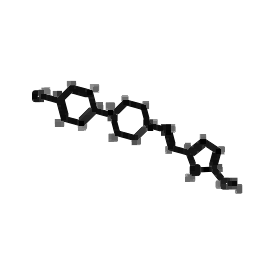 Cc1ccc(C=NN2CCN(c3ccc(Cl)cc3)CC2)o1